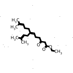 CCOC(=O)CC(=O)CCC=C(CC=C(C)C)CCC=C(C)C